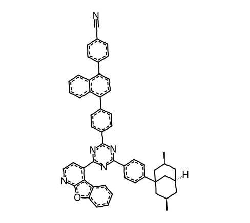 C[C@@H]1C[C@@H]2C[C@H](C)CC(c3ccc(-c4nc(-c5ccc(-c6ccc(-c7ccc(C#N)cc7)c7ccccc67)cc5)nc(-c5ccnc6oc7ccccc7c56)n4)cc3)(C1)C2